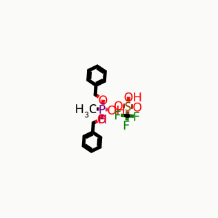 C[PH](O)(OCc1ccccc1)OCc1ccccc1.O=S(=O)(O)C(F)(F)F